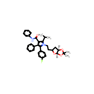 CC(C)c1c(C(=O)Nc2ccccc2)c(-c2ccccc2)c(-c2ccc(F)cc2)n1CCC1C[C@H]2OC(C)(C)O[C@H]2O1